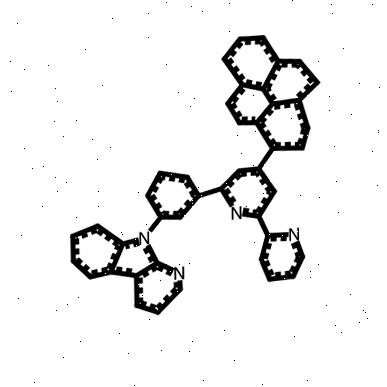 c1ccc(-c2cc(-c3ccc4ccc5cccc6ccc3c4c56)cc(-c3cccc(-n4c5ccccc5c5cccnc54)c3)n2)nc1